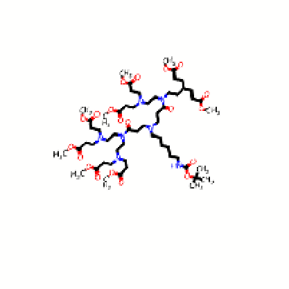 COC(=O)CCC(CCC(=O)OC)CCN(CCN(CCC(=O)OC)CCC(=O)OC)C(=O)CCN(CCCCCCNC(=O)OC(C)(C)C)CCC(=O)N(CCN(CCC(=O)OC)CCC(=O)OC)CCN(CCC(=O)OC)CCC(=O)OC